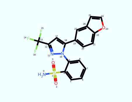 NS(=O)(=O)c1ccccc1-n1nc(C(F)(F)F)cc1-c1ccc2occc2c1